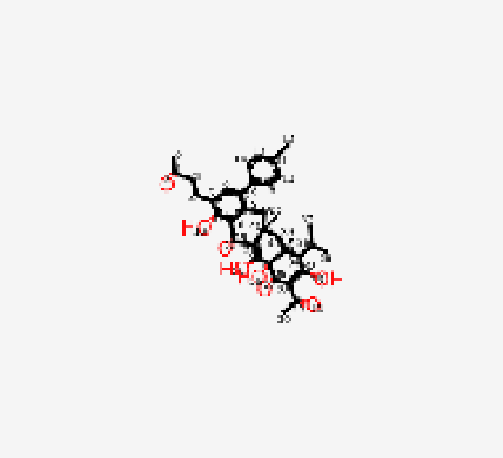 CC(=O)CCc1cc(-c2ccc(C)cc2)c2c(c1O)C(=O)C1=C(O)[C@@]3(O)C(=O)C(C(C)=O)=C(O)C(C(C)C)[C@@]3(C)C[C@@]1(C)C2